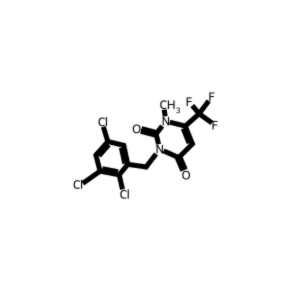 Cn1c(C(F)(F)F)cc(=O)n(Cc2cc(Cl)cc(Cl)c2Cl)c1=O